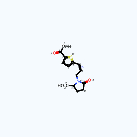 COC(=O)c1ccc(/C=C\CN2C(=O)CCC2C(=O)O)s1